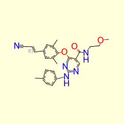 COCCNC(=O)c1cnc(Nc2ccc(C)cc2)nc1Oc1c(C)cc(/C=C/C#N)cc1C